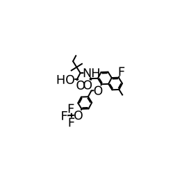 CCC(C)(C)C(NC(=O)c1ccc2c(F)cc(C)cc2c1OCc1ccc(OC(F)(F)F)cc1)C(=O)O